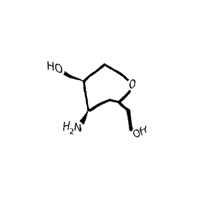 N[C@@H]1C(O)OC[C@@H]1O